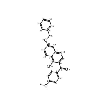 COc1ccc(C(=O)c2cnc3cc(OCc4ccccc4)ccc3c2Cl)cc1